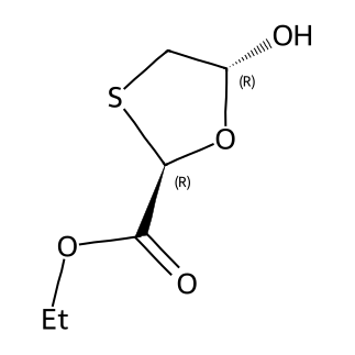 CCOC(=O)[C@@H]1O[C@@H](O)CS1